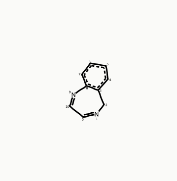 [C]1=NCc2ccccc2N=C1